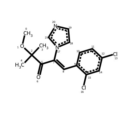 COC(C)(C)C(=O)C(=Cc1ccc(Cl)cc1Cl)n1ccnc1